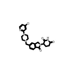 O=C1CCC(N2Cc3cc(CN4CCN(c5cc(Cl)ccn5)CC4)ccc3C2=O)C(=O)N1